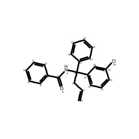 C=CCC(NC(=O)c1ccccc1)(c1ccccc1)c1cccc(Cl)c1